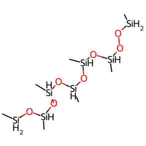 C[SiH2]OO[SiH](C)O[SiH](C)O[SiH](C)O[SiH](C)O[SiH](C)O[SiH2]C